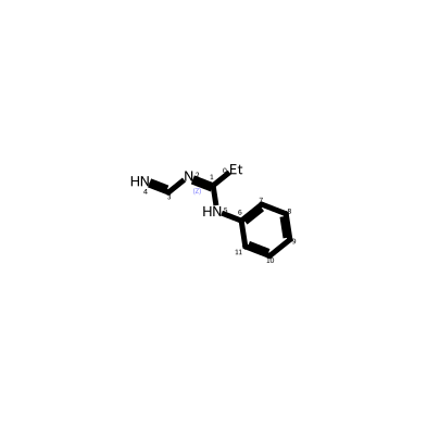 CC/C(=N/C=N)Nc1ccccc1